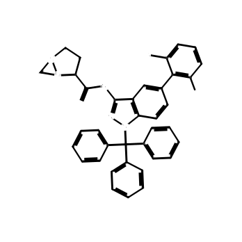 O=C(Nc1nn(C(c2ccccc2)(c2ccccc2)c2ccccc2)c2ccc(-c3c(Cl)cccc3Cl)cc12)C1CCN2CN12